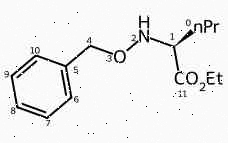 CCC[C@H](NOCc1ccccc1)C(=O)OCC